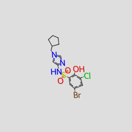 O=S(=O)(Nc1cn(CC2CCCC2)cn1)c1cc(Br)cc(Cl)c1O